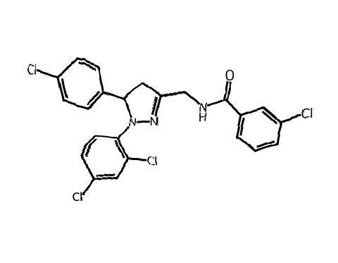 O=C(NCC1=NN(c2ccc(Cl)cc2Cl)C(c2ccc(Cl)cc2)C1)c1cccc(Cl)c1